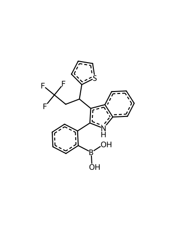 OB(O)c1ccccc1-c1[nH]c2ccccc2c1C(CC(F)(F)F)c1cccs1